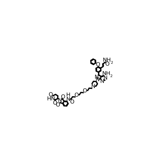 NC(=O)C=Cc1cc(-c2nn(C3CCN(CCCOCCCOCCC(=O)Nc4cccc5c4C(=O)N(C4CCC(=O)NC4=O)C5=O)CC3)c3ncnc(N)c23)ccc1Oc1ccccc1